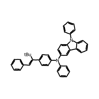 CC(C)(C)C(=Cc1ccccc1)c1ccc(N(c2ccccc2)c2ccc3c(c2)c2ccccc2n3-c2ccccc2)cc1